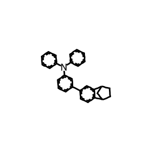 c1ccc(N(c2ccccc2)c2cccc(-c3ccc4c(c3)C3CCC4C3)c2)cc1